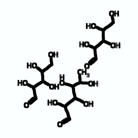 CC(O)C(O)C(O)C(O)C=O.O=CC(O)C(O)C(O)CO.O=CC(O)C(O)C(O)CO